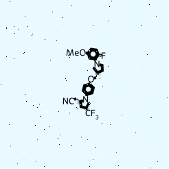 COc1ccc(F)c(N2CC[C@H](COc3ccc(N4C[C@H](C(F)(F)F)C[C@@H]4CC#N)cc3)C2)c1